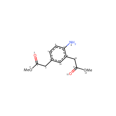 COC(=O)Cc1ccc(N)c(CC(=O)OC)c1